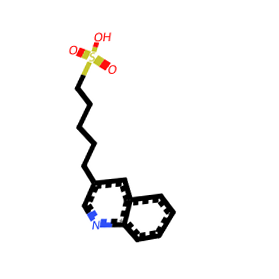 O=S(=O)(O)CCCCCc1cnc2ccccc2c1